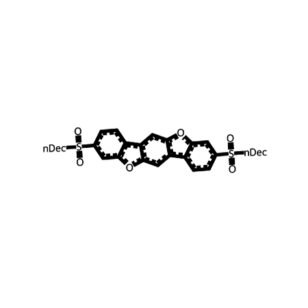 CCCCCCCCCCS(=O)(=O)c1ccc2c(c1)oc1cc3c(cc12)oc1cc(S(=O)(=O)CCCCCCCCCC)ccc13